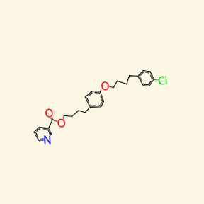 O=C(OCCCCc1ccc(OCCCCc2ccc(Cl)cc2)cc1)c1cccnc1